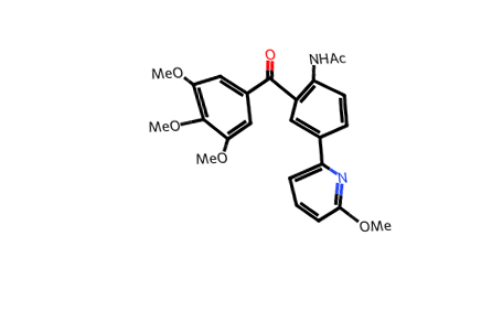 COc1cccc(-c2ccc(NC(C)=O)c(C(=O)c3cc(OC)c(OC)c(OC)c3)c2)n1